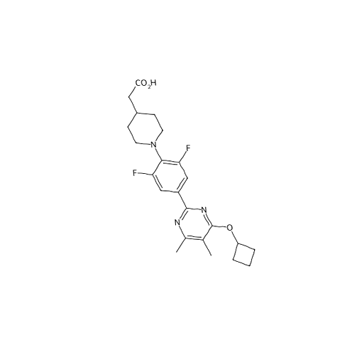 Cc1nc(-c2cc(F)c(N3CCC(CC(=O)O)CC3)c(F)c2)nc(OC2CCC2)c1C